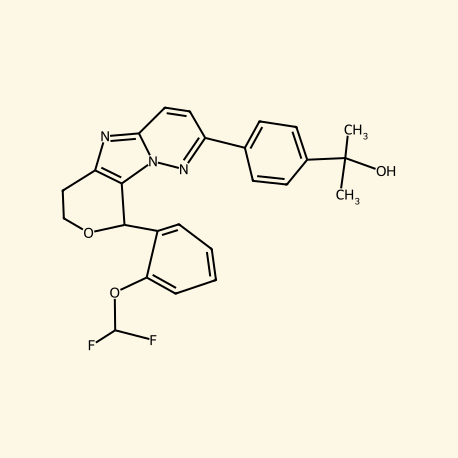 CC(C)(O)c1ccc(-c2ccc3nc4c(n3n2)C(c2ccccc2OC(F)F)OCC4)cc1